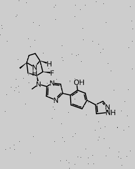 CN(c1cnc(-c2ccc(-c3cn[nH]c3)cc2O)cn1)[C@H]1C[C@]2(C)CC[C@@H](N2)[C@H]1F